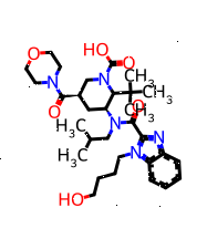 CC(C)CN(C(=O)c1nc2ccccc2n1CCCCO)[C@H]1C[C@@H](C(=O)N2CCOCC2)CN(C(=O)O)C1C(C)(C)C